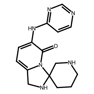 O=c1c(Nc2ccncn2)ccc2n1C1(CCCNC1)NC2